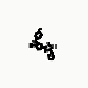 Clc1ccc(-c2n[nH]c3ccc(-c4n[nH]c(CN5CCCC5)n4)cc23)cc1